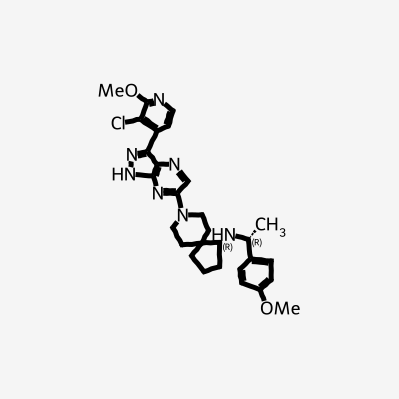 COc1ccc([C@@H](C)N[C@@H]2CCCC23CCN(c2cnc4c(-c5ccnc(OC)c5Cl)n[nH]c4n2)CC3)cc1